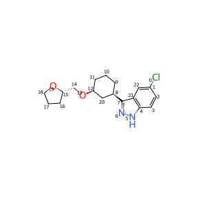 Clc1ccc2[nH]nc([C@@H]3CCC[C@H](OC[C@@H]4CCCO4)C3)c2c1